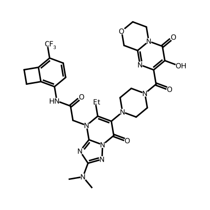 CCc1c(N2CCN(C(=O)c3nc4n(c(=O)c3O)CCOC4)CC2)c(=O)n2nc(N(C)C)nc2n1CC(=O)Nc1ccc(C(F)(F)F)c2c1CC2